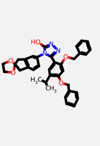 CC(C)c1cc(-c2nnc(O)n2-c2ccc3c(c2)CC2(C3)OCCO2)c(OCc2ccccc2)cc1OCc1ccccc1